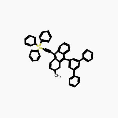 CC1C=Cc2c(c(-c3cc(-c4ccccc4)cc(-c4ccccc4)c3)c3ccccc3c2C#CS(c2ccccc2)(c2ccccc2)c2ccccc2)C1